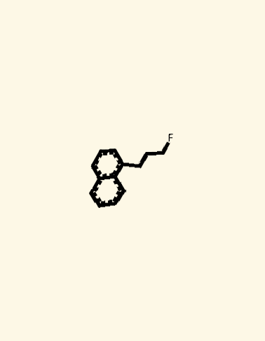 FCCCc1cccc2ccccc12